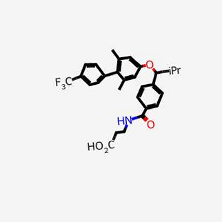 Cc1cc(OC(c2ccc(C(=O)NCCC(=O)O)cc2)C(C)C)cc(C)c1-c1ccc(C(F)(F)F)cc1